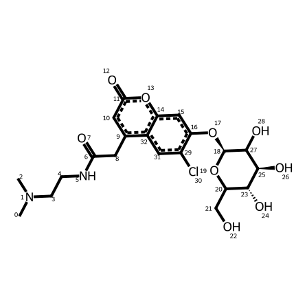 CN(C)CCNC(=O)Cc1cc(=O)oc2cc(O[C@@H]3OC(CO)[C@@H](O)[C@H](O)C3O)c(Cl)cc12